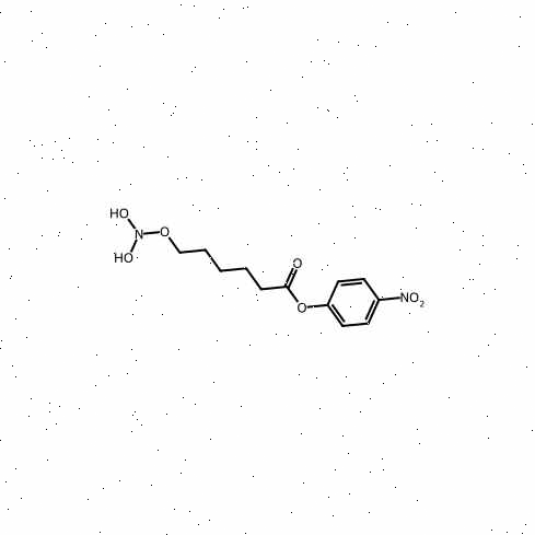 O=C(CCCCCON(O)O)Oc1ccc([N+](=O)[O-])cc1